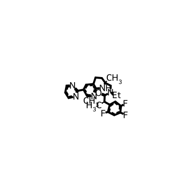 CCN(C[C@@]1(C)CCc2cc(-c3ncccn3)c(C)nc2N1)C(=O)[C@H](C)c1cc(F)c(F)cc1F